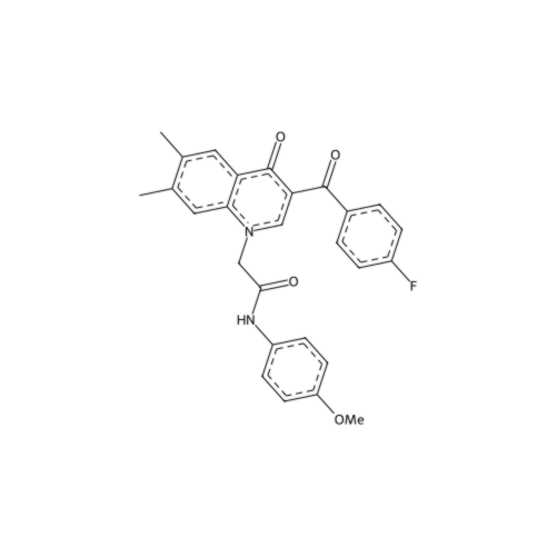 COc1ccc(NC(=O)Cn2cc(C(=O)c3ccc(F)cc3)c(=O)c3cc(C)c(C)cc32)cc1